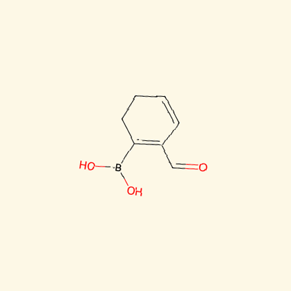 O=CC1=C(B(O)O)CCC=C1